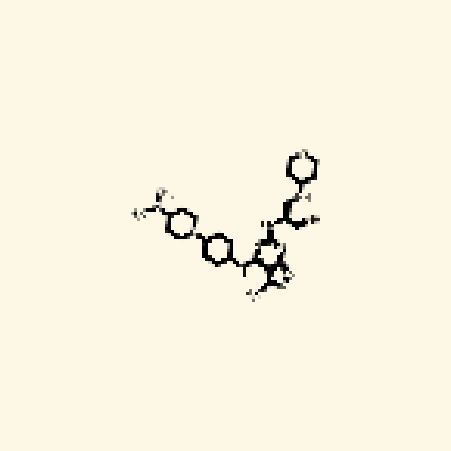 Cc1nsc2nc(N/C(C=N)=C/NC3CCOCC3)nc(NC3CCC(N4CCC(N(C)C)CC4)CC3)c12